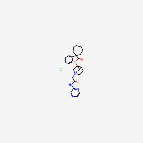 O=C(C[N+]12CCC(CC1)C(OC(=O)C1(c3ccccc3)CCCCCC1)C2)Nc1cnccn1.[Cl-]